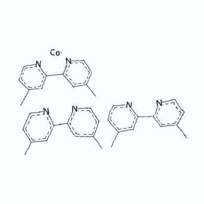 Cc1ccnc(-c2cc(C)ccn2)c1.Cc1ccnc(-c2cc(C)ccn2)c1.Cc1ccnc(-c2cc(C)ccn2)c1.[Co]